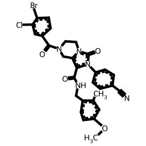 COc1ccc(CNC(=O)c2c3n(c(=O)n2-c2ccc(C#N)cc2)CCN(C(=O)c2ccc(Br)c(Cl)c2)C3)c(C)c1